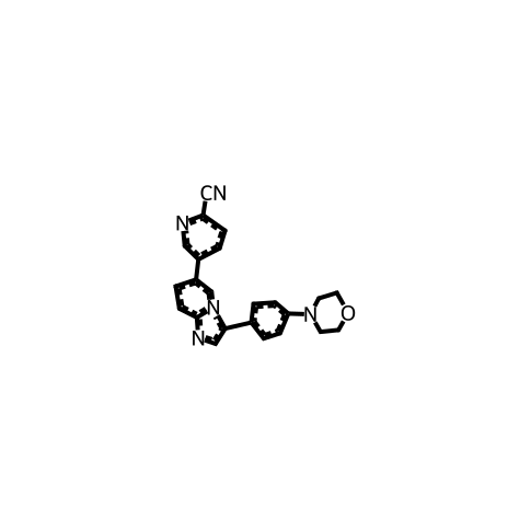 N#Cc1ccc(-c2ccc3ncc(-c4ccc(N5CCOCC5)cc4)n3c2)cn1